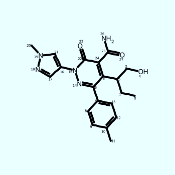 CCC(CO)c1c(-c2ccc(C)cc2)nn(-c2cnn(C)c2)c(=O)c1C(N)=O